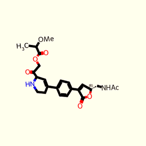 COC(C)C(=O)OCC(=O)C1C=C(c2ccc(C3=C[C@H](CNC(C)=O)OC3=O)cc2)CCN1